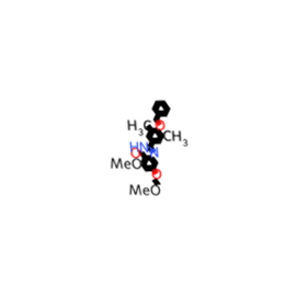 COCCOc1cc(OC)c2c(=O)[nH]c(-c3cc(C)c(OCc4ccccc4)c(C)c3)nc2c1